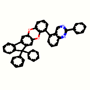 c1ccc(-c2ncc3c(-c4cccc5c4Oc4cc6c(cc4O5)-c4ccccc4C6(c4ccccc4)c4ccccc4)cccc3n2)cc1